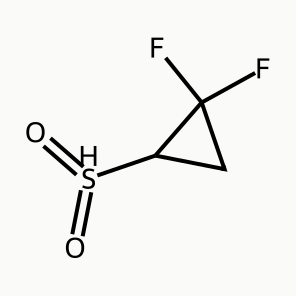 O=[SH](=O)C1CC1(F)F